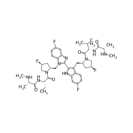 CC[C@H](NC(=O)[C@H](C)NC)C(=O)N1C[C@@H](F)C[C@H]1Cn1c(-c2[nH]c3cc(F)ccc3c2C[C@@H]2C[C@H](F)CN2C(=O)[C@@H](NC(=O)[C@H](C)NC)C(C)C)nc2cc(F)ccc21